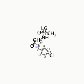 C=C(C)C(=O)NCC/C(=C\c1ccc(Cl)cc1)C(=O)O